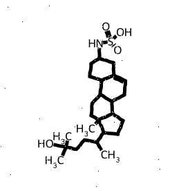 CC(CCC(C)(C)O)C1CCC2C3CC=C4CC(NS(=O)(=O)O)CCC4C3CCC12C